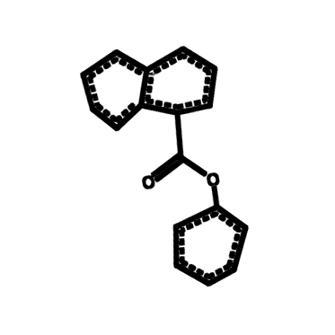 O=C(Oc1ccccc1)c1cccc2ccccc12